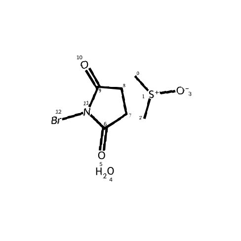 C[S+](C)[O-].O.O=C1CCC(=O)N1Br